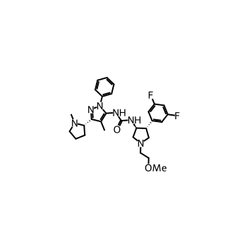 COCCN1C[C@@H](NC(=O)Nc2c(C)c([C@@H]3CCCN3C)nn2-c2ccccc2)[C@H](c2cc(F)cc(F)c2)C1